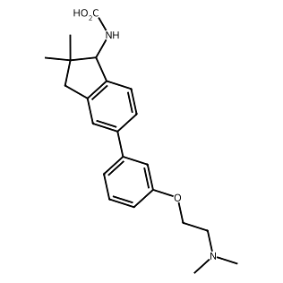 CN(C)CCOc1cccc(-c2ccc3c(c2)CC(C)(C)C3NC(=O)O)c1